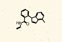 C=[C]NC(=O)c1ccccc1C1C=Cc2c(C)cccc21